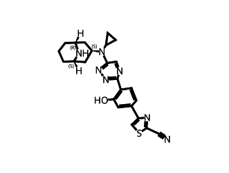 N#Cc1nc(-c2ccc(-c3ncc(N(C4CC4)[C@@H]4C[C@H]5CCC[C@@H](C4)N5)nn3)c(O)c2)cs1